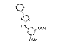 COc1cc(Nc2nc(-c3cccnc3)cs2)cc(OC)c1